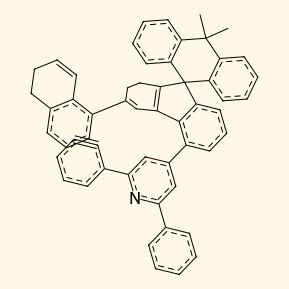 CC1(C)c2ccccc2C2(C3=C(C=C(c4cccc5c4C=CCC5)CC3)c3c(-c4cc(-c5c#cccc5)nc(-c5ccccc5)c4)cccc32)c2ccccc21